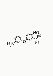 CCC(CC)c1cc(Oc2cccc(N)c2)ccc1[N+](=O)[O-]